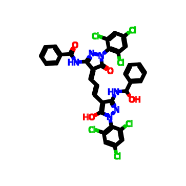 O=C(NC1=NN(c2c(Cl)cc(Cl)cc2Cl)C(=O)/C1=C\C=C\c1c(NC(O)c2ccccc2)nn(-c2c(Cl)cc(Cl)cc2Cl)c1O)c1ccccc1